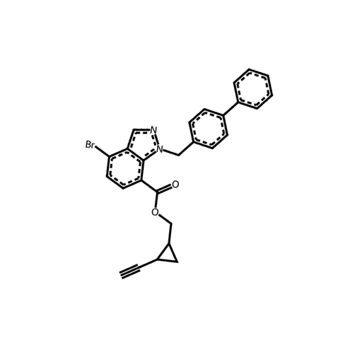 C#CC1CC1COC(=O)c1ccc(Br)c2cnn(Cc3ccc(-c4ccccc4)cc3)c12